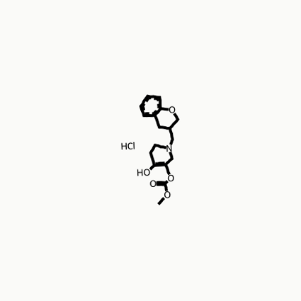 COC(=O)OC1=C(O)CCN(CC2COc3ccccc3C2)C1.Cl